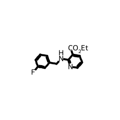 CCOC(=O)c1cccnc1NCc1cccc(F)c1